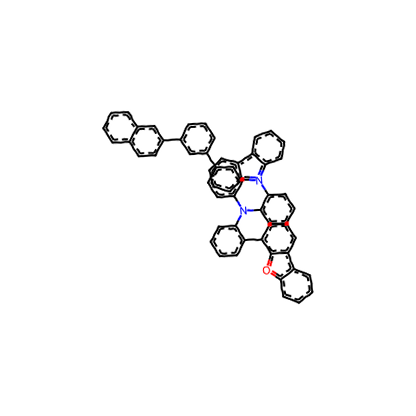 c1cc(-c2ccc(N(c3ccccc3-c3cccc4c3oc3ccccc34)c3ccccc3-n3c4ccccc4c4ccccc43)cc2)cc(-c2ccc3ccccc3c2)c1